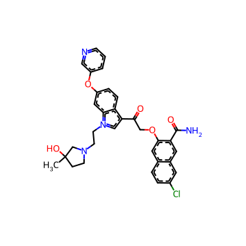 CC1(O)CCN(CCn2cc(C(=O)COc3cc4ccc(Cl)cc4cc3C(N)=O)c3ccc(Oc4cccnc4)cc32)C1